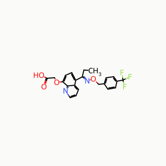 CCC(=NOCc1ccc(C(F)(F)F)cc1)c1ccc(OCC(=O)O)c2ncccc12